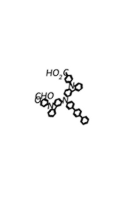 O=COc1ccc(-n2c3ccccc3c3cc(N(c4ccc(-c5ccc(-c6ccccc6)cc5)cc4)c4ccc5c(c4)c4ccccc4n5-c4ccc(C(=O)O)cc4)ccc32)cc1